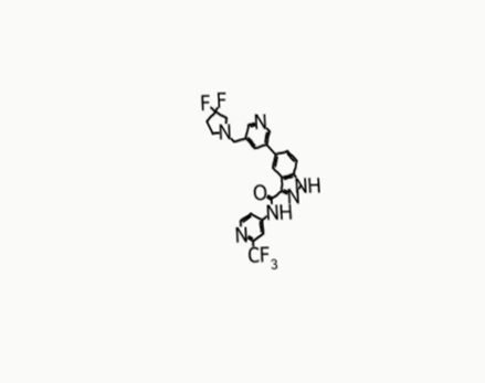 O=C(Nc1ccnc(C(F)(F)F)c1)c1n[nH]c2ccc(-c3cncc(CN4CCC(F)(F)C4)c3)cc12